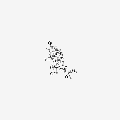 CC1(CO[C@@H]2C[C@H]3[C@@H]4CCC5=CC(=O)C=C[C@]5(C)[C@H]4[C@@H](O)C[C@]3(C)[C@@]2(O)C(=O)CCl)CO1